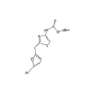 CC(=O)c1ccc(Cc2nc(NC(=O)OC(C)(C)C)cs2)o1